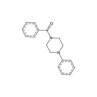 O=C(c1c[c]ccc1)N1CCN(c2ccccc2)CC1